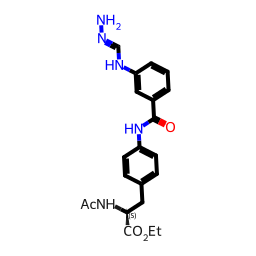 CCOC(=O)[C@H](Cc1ccc(NC(=O)c2cccc(NC=NN)c2)cc1)NC(C)=O